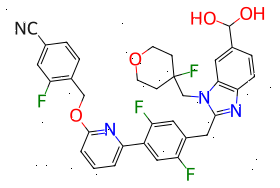 N#Cc1ccc(COc2cccc(-c3cc(F)c(Cc4nc5ccc(C(O)O)cc5n4CC4(F)CCOCC4)cc3F)n2)c(F)c1